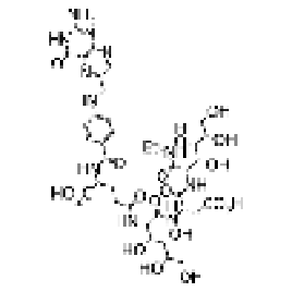 CCNC(=O)[C@@H](NC(=O)[C@H](CC(=O)O)NC(=O)[C@@H](NC(=O)CC[C@H](NC(=O)c1ccc(NCc2cnc3nc(N)[nH]c(=O)c3n2)cc1)C(=O)O)[C@@H](O)[C@H](O)[C@H](O)CO)[C@@H](O)[C@H](O)[C@H](O)CO